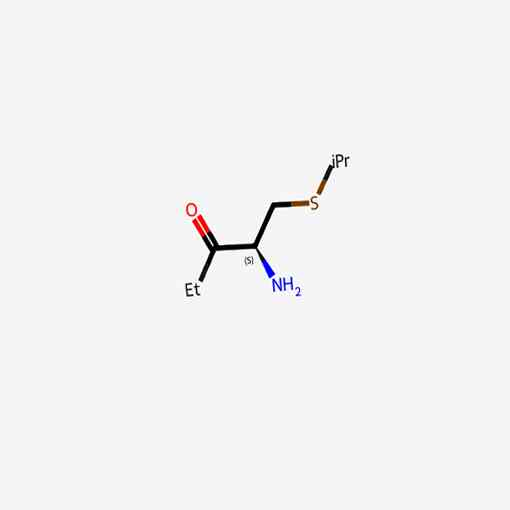 CCC(=O)[C@H](N)CSC(C)C